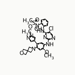 COc1cc(N2CC3(COC3)C2)c(-c2cnn(C)c2)cc1Nc1ncc(Cl)c(Nc2ccccc2N(C)S(C)(=O)=O)n1